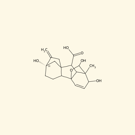 C=C1CC23C[C@@]1(O)CCC2C12C=CC(O)C(C)(C(O)O1)C2C3C(=O)O